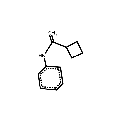 C=C(Nc1ccccc1)C1CCC1